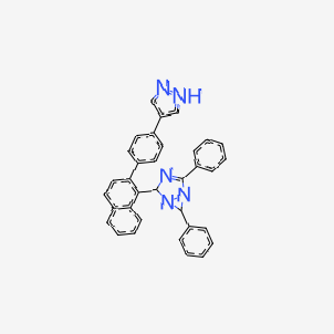 c1ccc(C2=NC(c3c(-c4ccc(-c5cn[nH]c5)cc4)ccc4ccccc34)N3C(c4ccccc4)N23)cc1